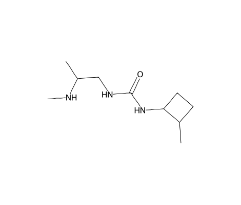 CNC(C)CNC(=O)NC1CCC1C